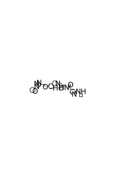 O=C(NCC(O)CN1CCc2cc(OCc3cn(C4CCCCO4)nn3)ccc2C1)c1ccnc(NC2CCC2)c1